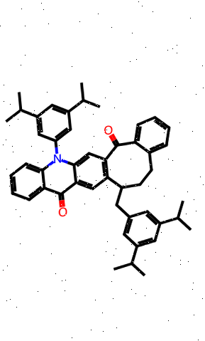 CC(C)c1cc(CC2CCc3ccccc3C(=O)c3cc4c(cc32)c(=O)c2ccccc2n4-c2cc(C(C)C)cc(C(C)C)c2)cc(C(C)C)c1